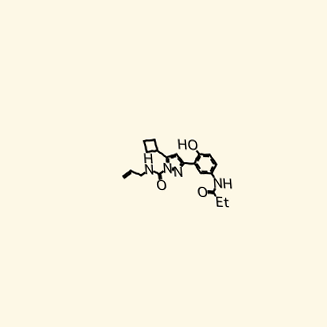 C=CCNC(=O)n1nc(-c2cc(NC(=O)CC)ccc2O)cc1C1CCC1